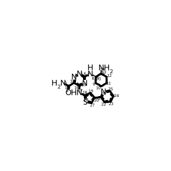 NC(=O)c1nnc(N[C@@H]2CCCC[C@@H]2N)nc1Nc1cc(-c2ccccn2)cs1